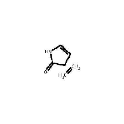 C=C.O=C1CC=CN1